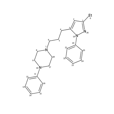 CCc1cc(CCCN2CCN(c3ccccc3)CC2)n(-c2ccccc2)n1